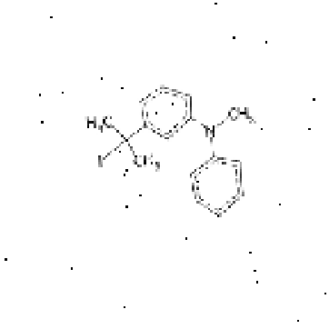 CN(c1ccccc1)c1cccc(C(C)(C)I)c1